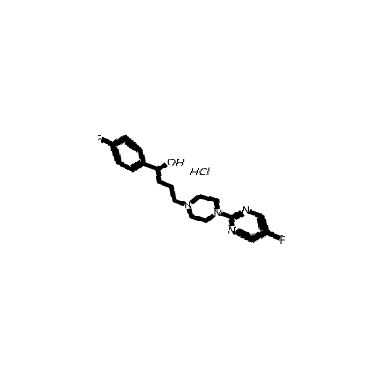 Cl.OC(CCCN1CCN(c2ncc(F)cn2)CC1)c1ccc(F)cc1